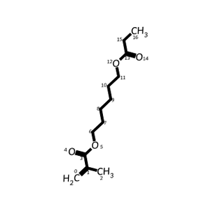 C=C(C)C(=O)OCCCCCCOC(=O)CC